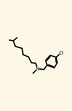 CC(C)CCCCCCN(C)Cc1ccc(Cl)cc1